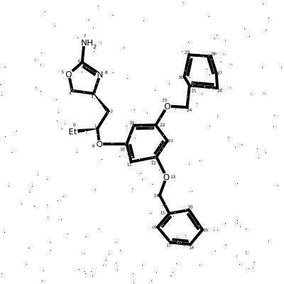 CC[C@@H](C[C@H]1COC(N)=N1)Oc1cc(OCc2ccccc2)cc(OCc2ccccc2)c1